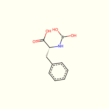 O=C(O)[C@@H](Cc1ccccc1)NB(O)O